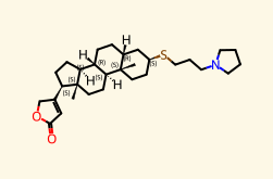 C[C@]12CC[C@H](SCCCN3CCCC3)C[C@H]1CC[C@@H]1[C@@H]2CC[C@]2(C)[C@@H](C3=CC(=O)OC3)CC[C@@H]12